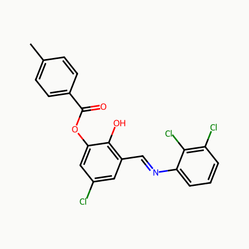 Cc1ccc(C(=O)Oc2cc(Cl)cc(C=Nc3cccc(Cl)c3Cl)c2O)cc1